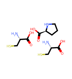 N[C@@H](CS)C(=O)O.N[C@@H](CS)C(=O)O.O=C(O)[C@@H]1CCCN1